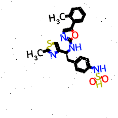 Cc1nc([C@H](Cc2ccc(N[SH](=O)=O)cc2)Nc2ncc(-c3ccccc3C)o2)cs1